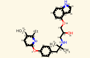 CCc1nc(Oc2ccc(CC(C)(C)NCC(O)COc3cccc4[nH]ccc34)cc2)ccc1C(=O)O